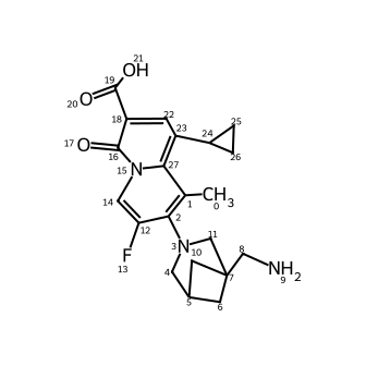 Cc1c(N2CC3CC(CN)(C3)C2)c(F)cn2c(=O)c(C(=O)O)cc(C3CC3)c12